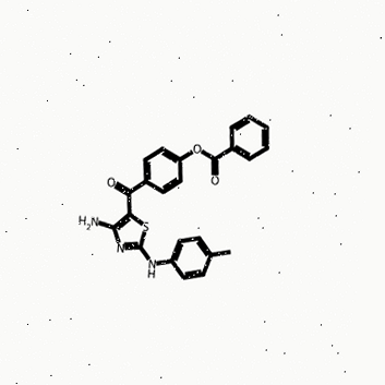 Cc1ccc(Nc2nc(N)c(C(=O)c3ccc(OC(=O)c4ccccc4)cc3)s2)cc1